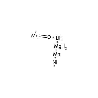 [LiH].[MgH2].[Mn].[Ni].[O]=[Mo]